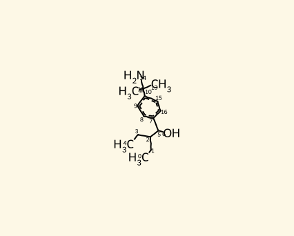 CCC(CC)C(O)c1ccc(C(C)(C)N)cc1